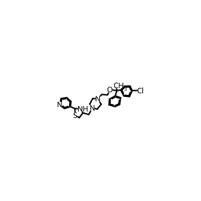 CC(OCCN1CCN(CC2CSC(c3cccnc3)N2)CC1)(c1ccccc1)c1ccc(Cl)cc1